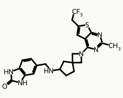 Cc1nc(N2CC3(CCC(NCc4ccc5[nH]c(=O)[nH]c5c4)C3)C2)c2cc(CC(F)(F)F)sc2n1